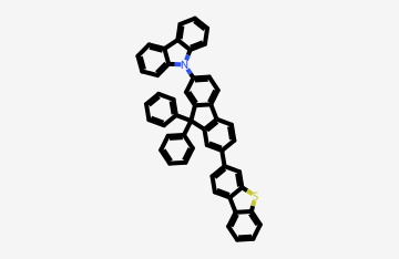 c1ccc(C2(c3ccccc3)c3cc(-c4ccc5c(c4)sc4ccccc45)ccc3-c3ccc(-n4c5ccccc5c5ccccc54)cc32)cc1